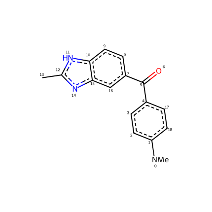 CNc1ccc(C(=O)c2ccc3[nH]c(C)nc3c2)cc1